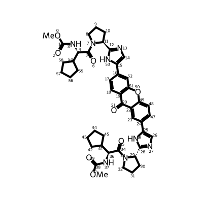 COC(=O)N[C@H](C(=O)N1CCC[C@H]1c1ncc(-c2ccc3c(=O)c4cc(-c5cnc([C@@H]6CCCN6C(=O)[C@@H](NC(=O)OC)C6CCCC6)[nH]5)ccc4oc3c2)[nH]1)C1CCCC1